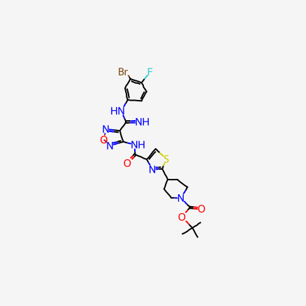 CC(C)(C)OC(=O)N1CCC(c2nc(C(=O)Nc3nonc3C(=N)Nc3ccc(F)c(Br)c3)cs2)CC1